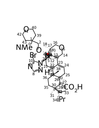 CNC1(CO[C@H]2[C@H](n3ncnc3Br)C[C@@]34COC[C@@]2(C)[C@@H]3CC[C@H]2C4=CC[C@@]3(C)[C@H](C(=O)O)[C@@](C)([C@H](C)C(C)C)CC[C@]23C)CCOCC1